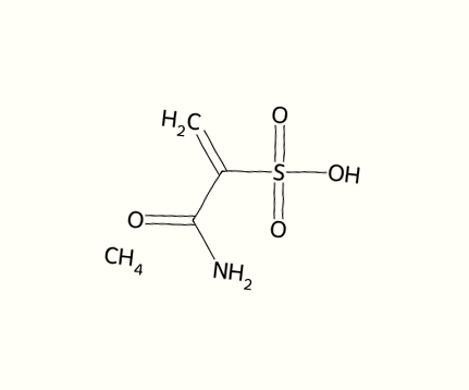 C.C=C(C(N)=O)S(=O)(=O)O